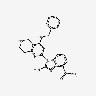 NC(=O)c1cccc2c1nc(N)n2-c1nc2c(c(NCc3ccccc3)n1)CNCC2